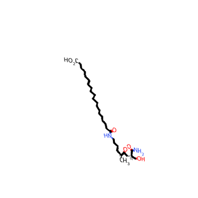 C[C@H](CCCCNC(=O)CCCCCCCCCCCCCCCCCCC(=O)O)C(=O)C[C@@H](CO)C(N)=O